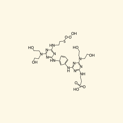 O=S(=O)(O)CCNc1nc(Nc2cccc(Nc3nc(NCCSOOO)nc(N(CCO)CCO)n3)c2)nc(N(CCO)CCO)n1